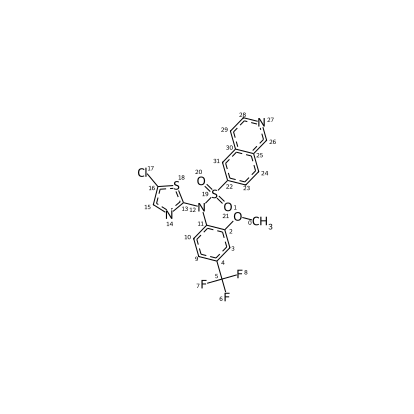 COc1cc(C(F)(F)F)ccc1N(c1ncc(Cl)s1)S(=O)(=O)c1ccc2cnccc2c1